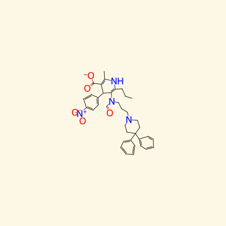 CCCC1=C(N(C=O)CCCN2CCC(c3ccccc3)(c3ccccc3)CC2)C(c2ccc([N+](=O)[O-])cc2)C(C(=O)OC)=C(C)N1